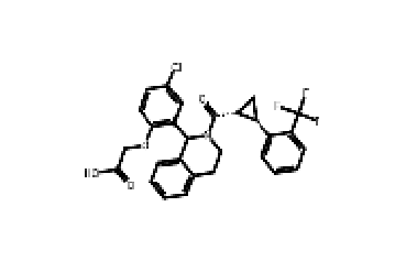 O=C(O)COc1ccc(Cl)cc1C1c2ccccc2CCN1C(=O)[C@@H]1C[C@H]1c1ccccc1C(F)(F)F